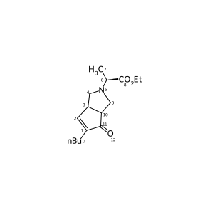 CCCCC1=CC2CN([C@@H](C)C(=O)OCC)CC2C1=O